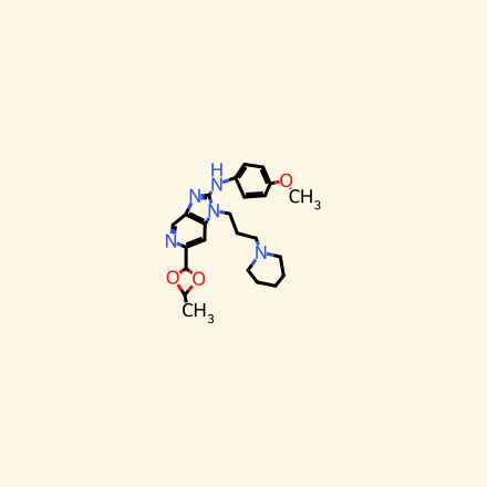 COc1ccc(Nc2nc3cnc(C4OC(C)O4)cc3n2CCCN2CCCCC2)cc1